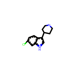 Clc1ccc2c(C3CC[N]CC3)c[nH]c2c1